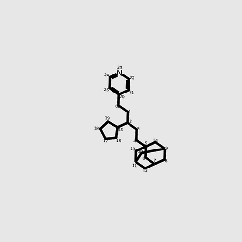 [CH](CC(CCC12CC3CC(CC(C3)C1)C2)C1CCCC1)c1ccncc1